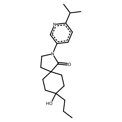 CCCC1(O)CCC2(CCN(c3ccc(C(C)C)nc3)C2=O)CC1